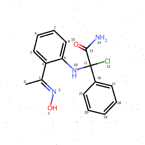 CC(=NO)c1ccccc1NC(Cl)(C(N)=O)c1ccccc1